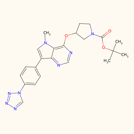 Cn1cc(-c2ccc(-n3cnnn3)cc2)c2ncnc(OC3CCN(C(=O)OC(C)(C)C)C3)c21